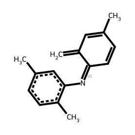 C=C1C=C(C)C=C/C1=N/c1cc(C)ccc1C